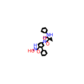 O=C(NO)c1ccc(NC(=O)C2(C(=O)Nc3ccccc3)CC2)cc1-c1ccccc1